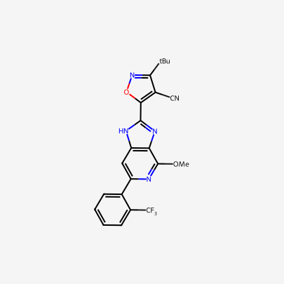 COc1nc(-c2ccccc2C(F)(F)F)cc2[nH]c(-c3onc(C(C)(C)C)c3C#N)nc12